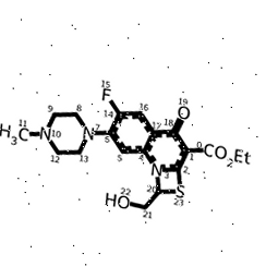 CCOC(=O)c1c2n(c3cc(N4CCN(C)CC4)c(F)cc3c1=O)C(CO)S2